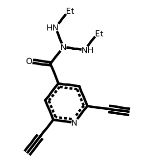 C#Cc1cc(C(=O)N(NCC)NCC)cc(C#C)n1